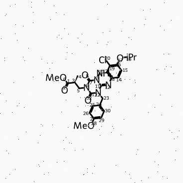 COC(=O)[C@@H](C)Cn1c(=O)n(N)/c(=N\c2ccc(OC(C)C)c(Cl)c2)n(Cc2ccc(OC)cc2)c1=O